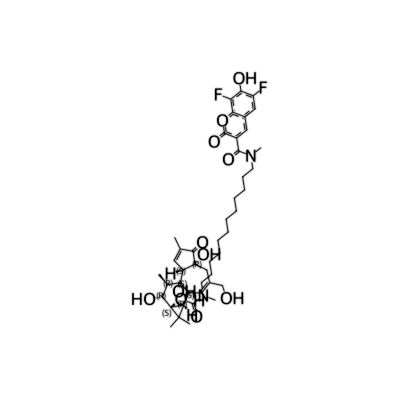 CC1=C[C@H]2[C@@]3(O)[C@H](C)[C@@H](O)[C@]4(OC(=O)N(C)CCCCCCCCCCCCN(C)C(=O)c5cc6cc(F)c(O)c(F)c6oc5=O)[C@H]([C@@H]3C=C(CO)C[C@]2(O)C1=O)C4(C)C